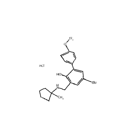 CC1(NCc2cc(C(C)(C)C)cc(-c3ccc(OC(F)(F)F)cc3)c2O)CCCC1.Cl